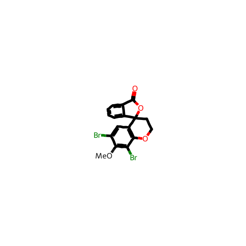 COc1c(Br)cc2c(c1Br)OCCC21OC(=O)c2ccccc21